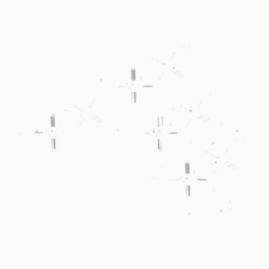 O=P(O)(O)[O][Mo](=[O])(=[O])[O-].O=P(O)(O)[O][Mo](=[O])(=[O])[O-].O=P(O)(O)[O][Mo](=[O])(=[O])[O-].O=P(O)(O)[O][Mo](=[O])(=[O])[O-].[Ca+2].[Zn+2]